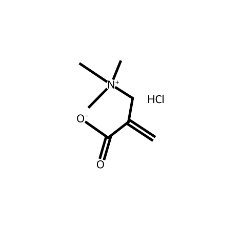 C=C(C[N+](C)(C)C)C(=O)[O-].Cl